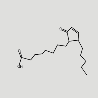 CCCCCC1C=CC(=O)C1CCCCCCCC(=O)O